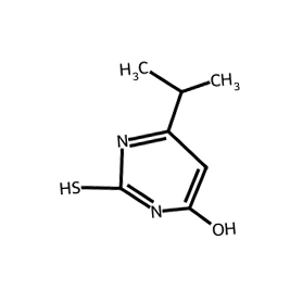 CC(C)c1cc(O)nc(S)n1